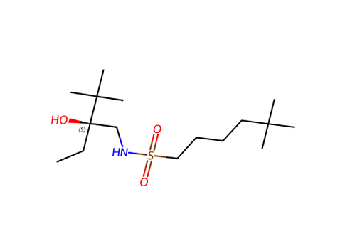 CC[C@@](O)(CNS(=O)(=O)CCCCC(C)(C)C)C(C)(C)C